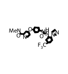 CNC(=O)c1cc(Oc2ccc(NC(=O)Nc3cc(C(F)(F)F)ccc3-n3ccnc3)cc2)ccn1